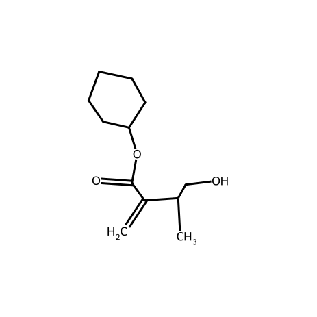 C=C(C(=O)OC1CCCCC1)C(C)CO